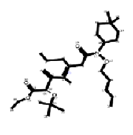 C=C(/C(C)=C(\CCC)CC(=O)N(OCCCCC)C1CCC(C)(C)CC1)[C@H](OC(C)(C)C)C(=O)OCC